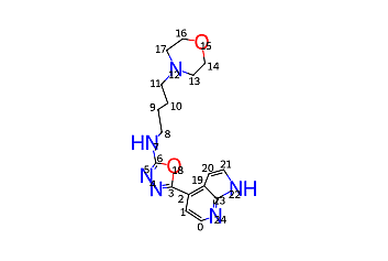 c1cc(-c2nnc(NCCCCN3CCOCC3)o2)c2cc[nH]c2n1